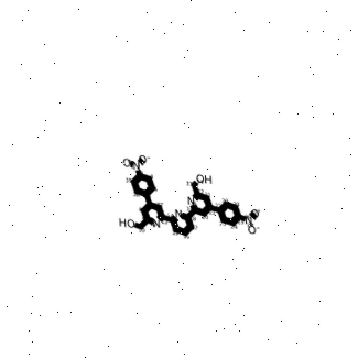 O=[N+]([O-])c1ccc(-c2cc(CO)nc(-c3cccc(-c4cc(-c5ccc([N+](=O)[O-])cc5)cc(CO)n4)n3)c2)cc1